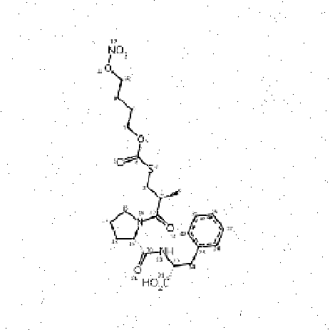 C[C@H](CSC(=O)OCCCCO[N+](=O)[O-])C(=O)N1CCC[C@H]1C(=O)N[C@H](Cc1ccccc1)C(=O)O